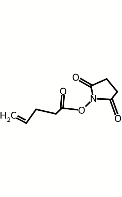 C=CCCC(=O)ON1C(=O)CCC1=O